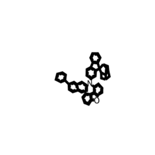 c1ccc(-c2ccc3ccc(N(c4ccc5c(c4)C4(c6ccccc6-5)C5CC6CC(C5)CC4C6)c4cccc5oc6ccccc6c45)cc3c2)cc1